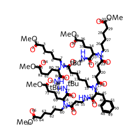 COC(=O)CCCCCN(C(=O)CCCCCN(C(=O)CCCC(=O)N(CCCCCC(=O)OC)C(CCCC(=O)OC)C(=O)NC(C)(C)C)C(Cc1ccccc1)C(=O)NCCC(=O)N(CCCCCC(=O)OC)C(CCCC(=O)OC)C(=O)NC(C)(C)C)C(CCCC(=O)OC)C(=O)NC(C)(C)C